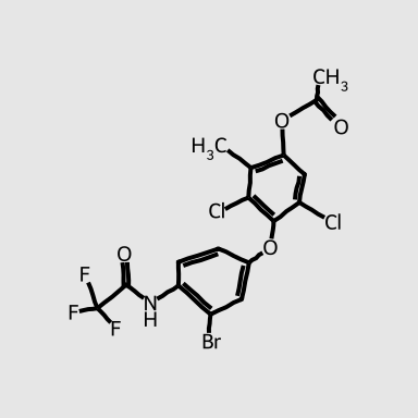 CC(=O)Oc1cc(Cl)c(Oc2ccc(NC(=O)C(F)(F)F)c(Br)c2)c(Cl)c1C